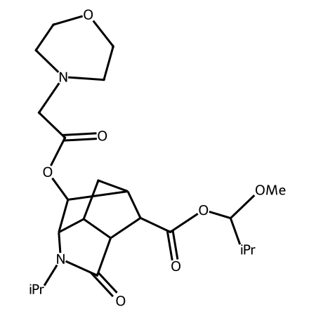 COC(OC(=O)C1C2CC3C1C(=O)N(C(C)C)C3C2OC(=O)CN1CCOCC1)C(C)C